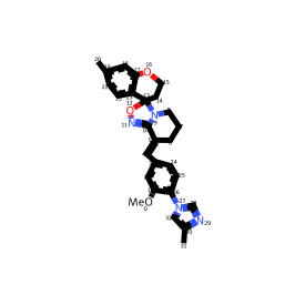 COc1cc(/C=C2\CCCN3C2=NOC32CCOc3cc(C)ccc32)ccc1-n1cnc(C)c1